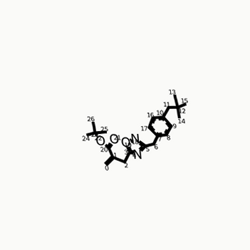 C=C(Cc1nc(Cc2ccc(CC(C)(C)C)cc2)no1)C(=O)OC(C)(C)C